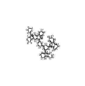 c1ccc(-n2c3ccccc3c3cc4c(-c5cccc(-c6cc(-n7c8ccccc8c8ccccc87)cc(-n7c8ccccc8c8ccccc87)c6)c5)nc5ccccc5c4cc32)cc1